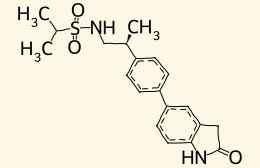 CC(C)S(=O)(=O)NC[C@@H](C)c1ccc(-c2ccc3c(c2)CC(=O)N3)cc1